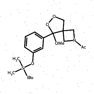 COC1(c2cccc(O[Si](C)(C)C(C)(C)C)c2)OOCC12CN(C(C)=O)C2